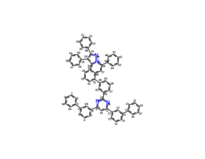 c1ccc(-c2cccc(-c3cc(-c4cccc(-c5ccccc5)c4)nc(-c4cccc(-c5cccc6c5cc(-c5ccccc5)n5nc(-c7ccccc7)c(-c7ccccc7)c65)c4)n3)c2)cc1